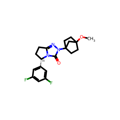 COC12CCC(n3nc4n(c3=O)[C@H](c3cc(F)cc(F)c3)CC4)(CC1)C2